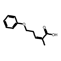 CC(=CCCOc1ccccc1)C(=O)O